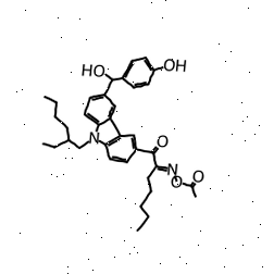 CCCCC/C(=N\OC(C)=O)C(=O)c1ccc2c(c1)c1cc(C(O)c3ccc(O)cc3)ccc1n2CC(CC)CCCC